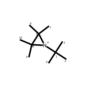 CC(C)(C)N1C(C)(C)C1(C)C